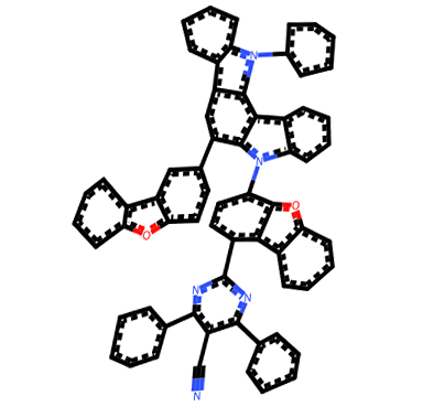 N#Cc1c(-c2ccccc2)nc(-c2ccc(-n3c4ccccc4c4c3c(-c3ccc5oc6ccccc6c5c3)cc3c5ccccc5n(-c5ccccc5)c34)c3oc4ccccc4c23)nc1-c1ccccc1